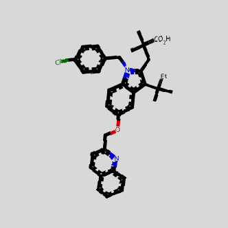 CCC(C)(C)c1c(CC(C)(C)C(=O)O)n(Cc2ccc(Cl)cc2)c2ccc(OCc3ccc4ccccc4n3)cc12